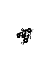 O=C(NCc1ccc(Cl)cc1)[C@H](Cc1ccccc1)n1cnc(-c2cc(Cl)ccc2-n2cc(Cl)nn2)cc1=O